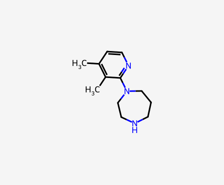 Cc1ccnc(N2CCCNCC2)c1C